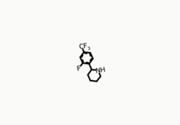 Fc1cc(C(F)(F)F)ccc1C1CCCCN1